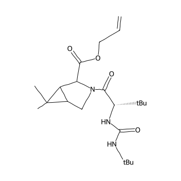 C=CCOC(=O)C1C2C(CN1C(=O)[C@@H](NC(=O)NC(C)(C)C)C(C)(C)C)C2(C)C